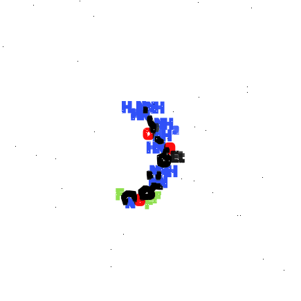 CCc1cc(Nc2nccn3c(-c4ccc(Oc5ccc(F)cn5)c(F)c4F)cnc23)ccc1C(=O)NCCNC(=O)[C@H](N)CCNC(=N)N